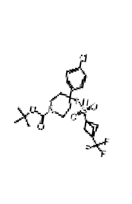 CC(C)(C)OC(=O)N1CCC(NS(=O)(=O)C23CC(C(F)(F)F)(C2)C3)(c2ccc(Cl)cc2)CC1